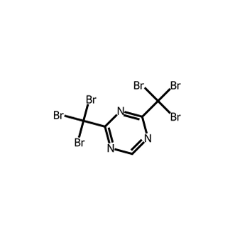 BrC(Br)(Br)c1ncnc(C(Br)(Br)Br)n1